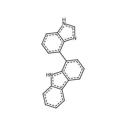 c1cc(-c2cccc3c2[nH]c2ccccc23)c2nc[nH]c2c1